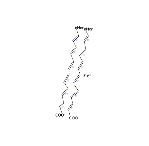 CCCCCCCCC/C=C/C=C/C=C/C=C/C=C/C=C/C(=O)[O-].CCCCCCCCC/C=C/C=C/C=C/C=C/C=C/C=C/C(=O)[O-].[Zn+2]